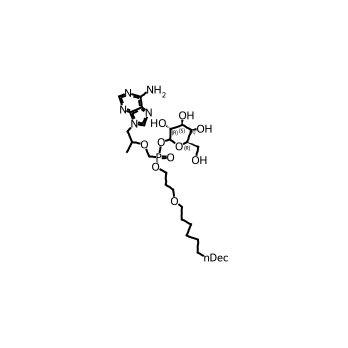 CCCCCCCCCCCCCCCCOCCCOP(=O)(COC(C)Cn1cnc2c(N)ncnc21)OC1O[C@H](CO)[C@H](O)[C@H](O)[C@H]1O